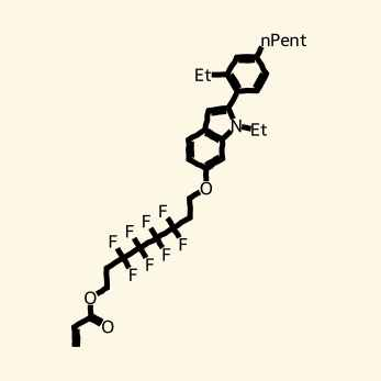 C=CC(=O)OCCC(F)(F)C(F)(F)C(F)(F)C(F)(F)CCOc1ccc2cc(-c3ccc(CCCCC)cc3CC)n(CC)c2c1